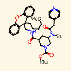 CCN(C(=O)Cc1ccncc1)[C@@H]1C[C@H](C(=O)NCC2(CCCCOC)c3ccccc3Oc3ccccc32)CN(C(=O)OC(C)(C)C)C1